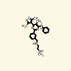 CNCCNCc1cccc(-c2nc(Nc3ccccc3)c(C)c(-c3c(C)noc3C)n2)c1